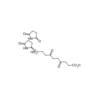 O=C(O)CCC(=O)CCC(=O)CCC(=O)O.O=C1CCC(=O)N1.O=C1CCC(=O)N1